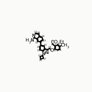 CCOC(=O)Cc1cc(C)ccc1OCc1nn(C2CCC2)c2ccc(-c3ccc4ccnc(N)c4c3)cc12